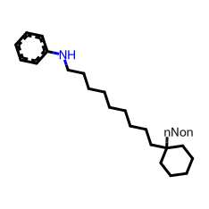 CCCCCCCCCC1(CCCCCCCCCNc2ccccc2)CCCCC1